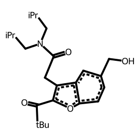 CC(C)CN(CC(C)C)C(=O)Cc1c(C(=O)C(C)(C)C)oc2ccc(CO)cc12